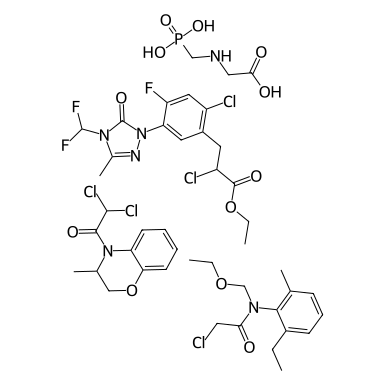 CC1COc2ccccc2N1C(=O)C(Cl)Cl.CCOC(=O)C(Cl)Cc1cc(-n2nc(C)n(C(F)F)c2=O)c(F)cc1Cl.CCOCN(C(=O)CCl)c1c(C)cccc1CC.O=C(O)CNCP(=O)(O)O